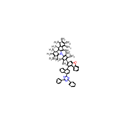 Bc1c(B)c(-n2c3c(B)c(B)c(B)c(B)c3c3c(B)c4c(B)c(B)c(B)c(B)c4c(B)c32)c(B)c(B)c1-c1cc(-c2ccc(-c3nc(-c4ccccc4)nc(-c4ccccc4)n3)c3ccccc23)c2c(c1)oc1ccccc12